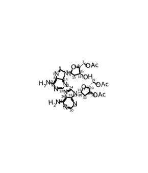 CC(=O)OC[C@H]1O[C@@H](n2cnc3c(N)ncnc32)C[C@@H]1O.CC(=O)OC[C@H]1O[C@@H](n2cnc3c(N)ncnc32)C[C@@H]1OC(C)=O